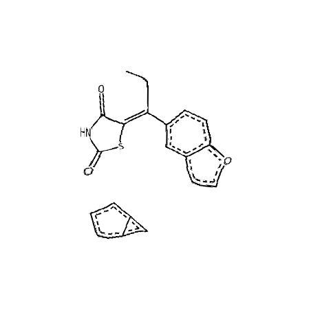 CCC(=C1SC(=O)NC1=O)c1ccc2occc2c1.c1cc2cc-2c1